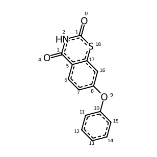 O=c1[nH]c(=O)c2ccc(Oc3ccccc3)cc2s1